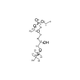 CCOP(=O)(COCCC(O)CO[Si](C)(C)C(C)(C)C)OCC